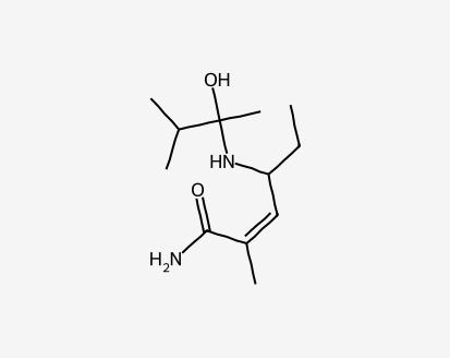 CCC(C=C(C)C(N)=O)NC(C)(O)C(C)C